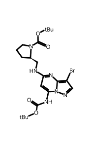 CC(C)(C)OC(=O)Nc1cc(NC[C@H]2CCCN2C(=O)OC(C)(C)C)nc2c(Br)cnn12